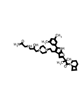 Cc1cc(C)cc(-c2[nH]c3sc(C(C)(C)C(=O)N4CCCC5CCC54)cc3c2CCN2CCN(CC(O)CNCC(N)=O)CC2)c1